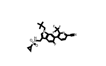 CC(C)(C)Cn1cc(CNS(=O)(=O)C2CC2)c2cc(F)c(-c3ccc(C#N)nc3C(F)(F)F)cc21